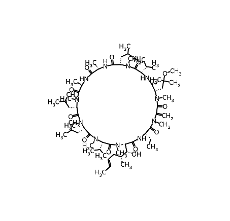 C=C1C(=O)N(C)[C@@H](CC(C)(C)OC)C(=O)N[C@@H](C(C)C)C(=O)N(C)[C@@H](CC(C)C)C(=O)N[C@@H](C)C(=O)N[C@H](C)C(=O)N(C)[C@@H](CC(C)C)C(=O)N(C)[C@@H](CC(C)C)C(=O)N(C)[C@@H](C(C)C)C(=O)N(C)[C@@H]([C@H](O)[C@H](C)C/C=C/C)C(=O)N[C@@H](CC)C(=O)N1C